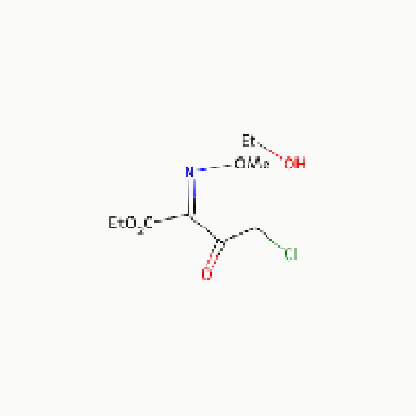 CCO.CCOC(=O)C(=NOC)C(=O)CCl